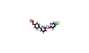 O=CCC1CC=C(c2cccc(OCc3ccc(Cl)cn3)n2)CC1